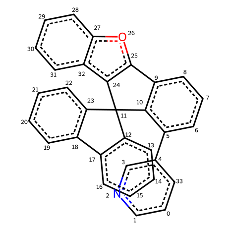 c1cncc(-c2cccc3c2C2(c4ccccc4-c4ccccc42)c2c-3oc3ccccc23)c1